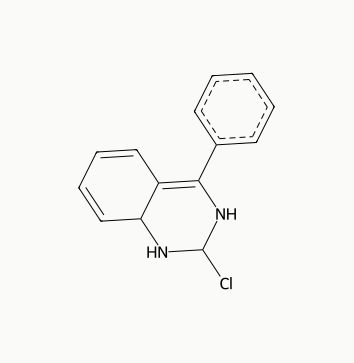 ClC1NC(c2ccccc2)=C2C=CC=CC2N1